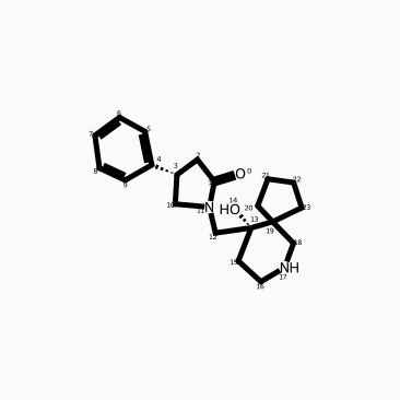 O=C1C[C@@H](c2ccccc2)CN1C[C@]1(O)CCNCC12CCCC2